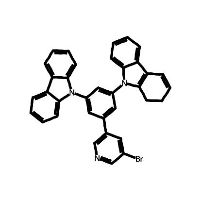 Brc1cncc(-c2cc(-n3c4c(c5ccccc53)C=CCC4)cc(-n3c4ccccc4c4ccccc43)c2)c1